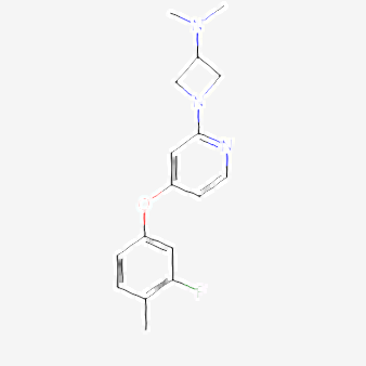 Cc1ccc(Oc2ccnc(N3CC(N(C)C)C3)c2)cc1F